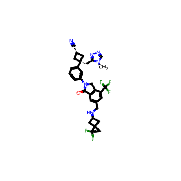 Cn1cnnc1C[C@]1(c2cccc(N3Cc4c(cc(CNC5CC6(C5)CC6(F)F)cc4C(F)(F)F)C3=O)c2)C[C@H](C#N)C1